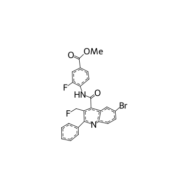 COC(=O)c1ccc(NC(=O)c2c(CF)c(-c3ccccc3)nc3ccc(Br)cc23)c(F)c1